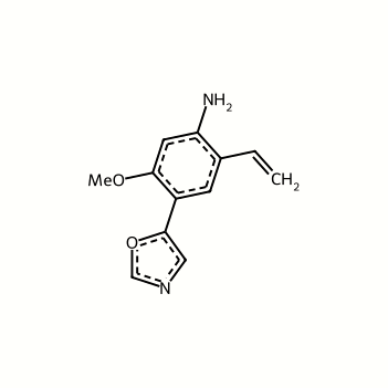 C=Cc1cc(-c2cnco2)c(OC)cc1N